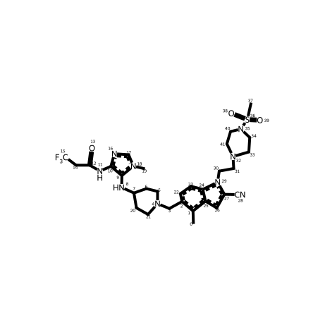 Cc1c(CN2CCC(Nc3c(NC(=O)CC(F)(F)F)ncn3C)CC2)ccc2c1cc(C#N)n2CCN1CCN(S(C)(=O)=O)CC1